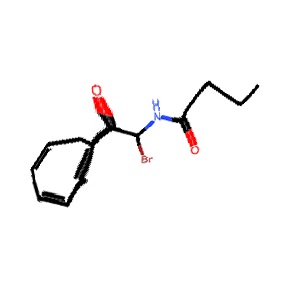 CCCC(=O)NC(Br)C(=O)c1ccccc1